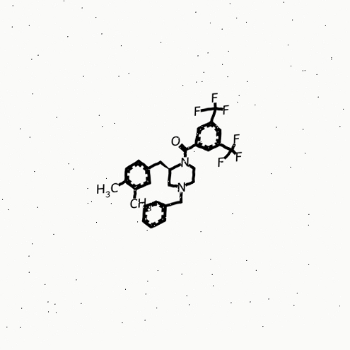 Cc1ccc(C[C@@H]2CN(Cc3ccccc3)CCN2C(=O)c2cc(C(F)(F)F)cc(C(F)(F)F)c2)cc1C